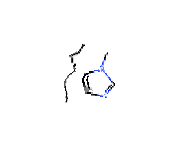 CCCCC.Cn1ccnc1